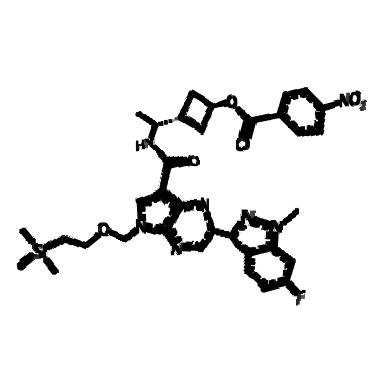 CC(NC(=O)c1cn(COCC[Si](C)(C)C)c2ncc(-c3nn(C)c4cc(F)ccc34)nc12)[C@H]1C[C@H](OC(=O)c2ccc([N+](=O)[O-])cc2)C1